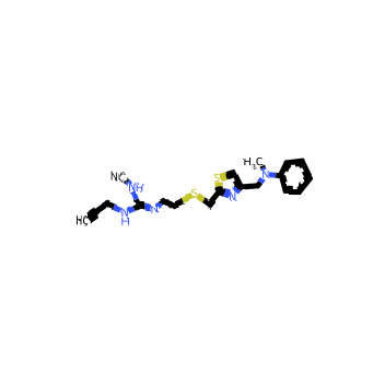 C#CCNC(=NCCSCc1nc(CN(C)c2ccccc2)cs1)NC#N